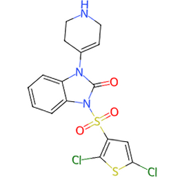 O=c1n(C2=CCNCC2)c2ccccc2n1S(=O)(=O)c1cc(Cl)sc1Cl